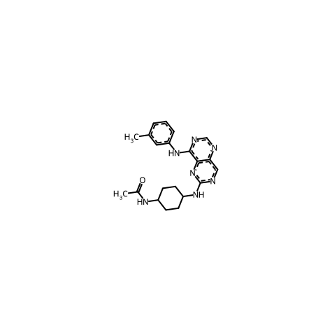 CC(=O)NC1CCC(Nc2ncc3ncnc(Nc4cccc(C)c4)c3n2)CC1